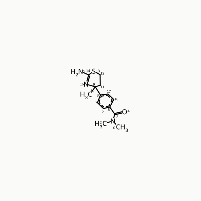 CN(C)C(=O)c1ccc(C2(C)CCSC(N)=N2)cc1